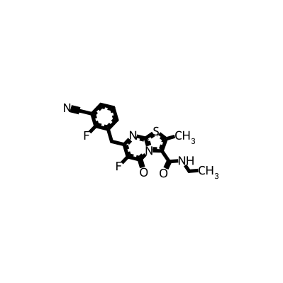 CCNC(=O)c1c(C)sc2nc(Cc3cccc(C#N)c3F)c(F)c(=O)n12